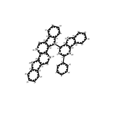 c1ccc(-c2nc(-n3c4ccccc4c4cnc5c(ncc6c7ccccc7sc65)c43)c3sc4ccccc4c3n2)cc1